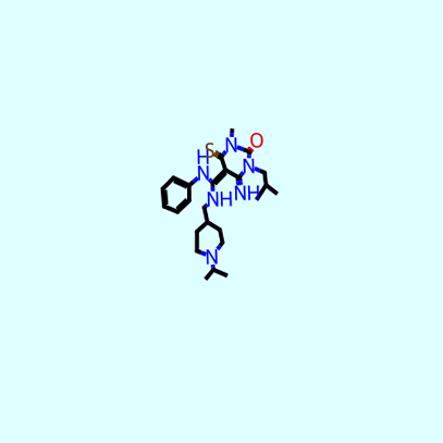 CC(C)CN1C(=N)/C(=C(\NCC2CCN(C(C)C)CC2)Nc2ccccc2)C(=S)N(C)C1=O